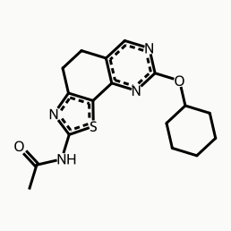 CC(=O)Nc1nc2c(s1)-c1nc(OC3CCCCC3)ncc1CC2